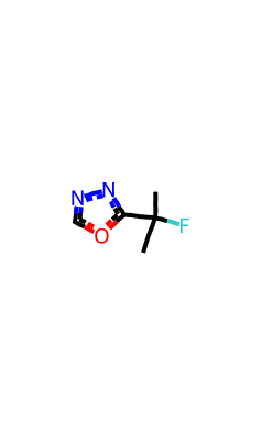 CC(C)(F)c1nnco1